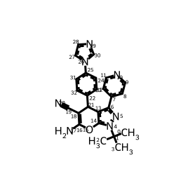 CC(C)(C)n1nc(-c2ccncc2)c2c1OC(N)=C(C#N)C2c1ccc(-n2ccnc2)cc1